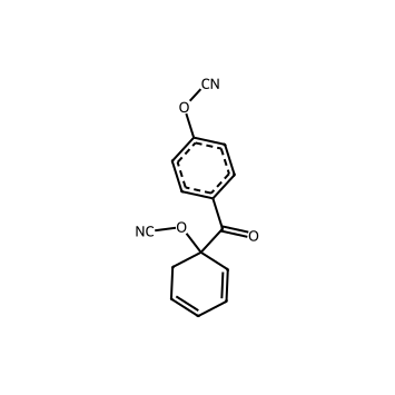 N#COc1ccc(C(=O)C2(OC#N)C=CC=CC2)cc1